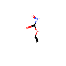 C=COC(=O)N=O